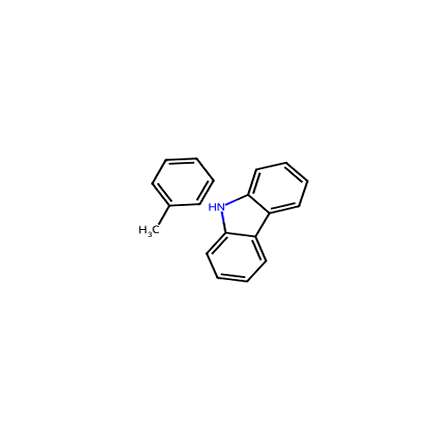 Cc1ccccc1.c1ccc2c(c1)[nH]c1ccccc12